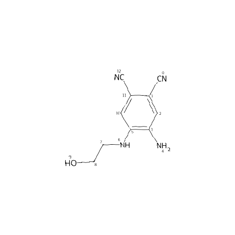 N#Cc1cc(N)c(NCCO)cc1C#N